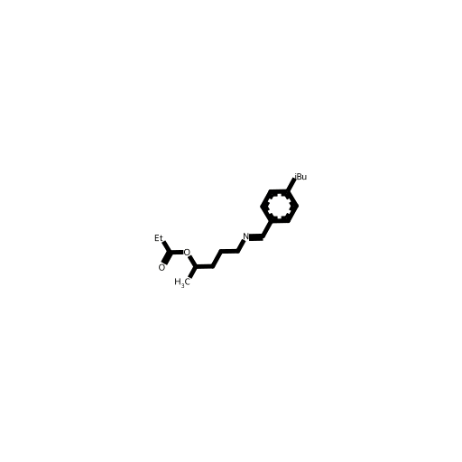 CCC(=O)OC(C)CCCN=Cc1ccc(C(C)CC)cc1